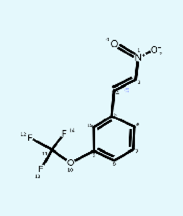 O=[N+]([O-])/C=C/c1cccc(OC(F)(F)F)c1